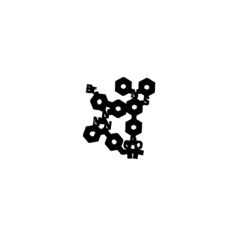 CC1(C)OB(c2ccc(-c3ccc4c(c3)Sc3ccccc3N4c3ccccc3)cc2)OC1(C)Cc1ccc(-c2nc(-n3c4ccccc4c4cc(Br)ccc43)nc3ccccc23)cc1